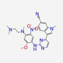 COc1cc(N(C)CCN(C)C)c([N+](=O)[O-])cc1Nc1nccc(-c2cn(C)c3cc(C#N)ccc23)n1